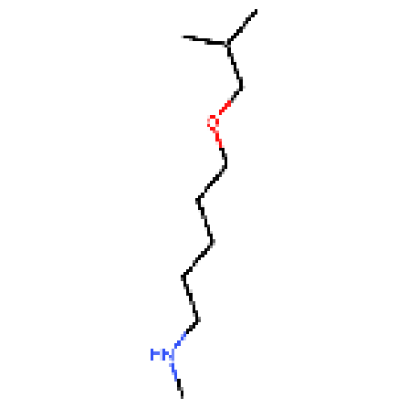 CNCCCCCOCC(C)C